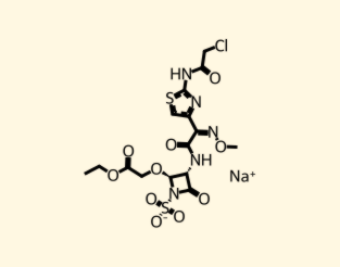 CCOC(=O)CO[C@H]1[C@H](NC(=O)C(=NOC)c2csc(NC(=O)CCl)n2)C(=O)N1S(=O)(=O)[O-].[Na+]